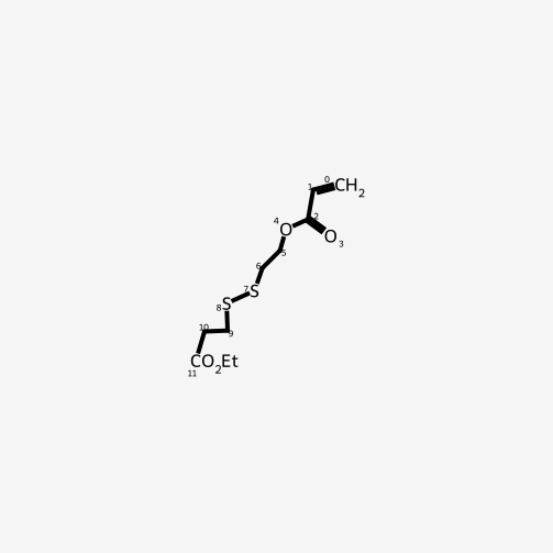 C=CC(=O)OCCSSCCC(=O)OCC